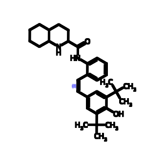 CC(C)(C)c1cc(/C=C\c2ccccc2NC(=O)C2CCC3CCCCC3N2)cc(C(C)(C)C)c1O